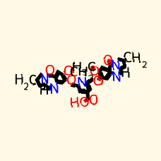 C=C1C[C@H]2C=Nc3cc(OCc4cc(C(=O)O)cc(COc5cc6c(cc5OC)C(=O)N5CC(=C)C[C@H]5C=N6)n4)c(OC)cc3C(=O)N2C1